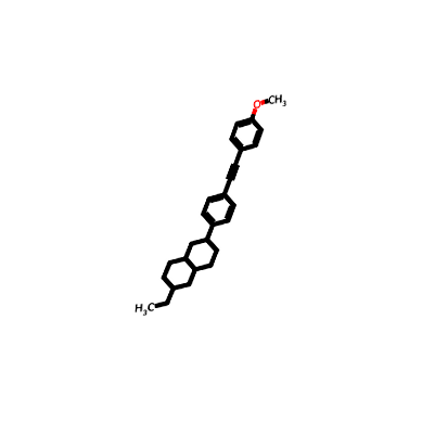 CCC1CCC2CC(c3ccc(C#Cc4ccc(OC)cc4)cc3)CCC2C1